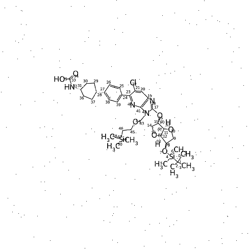 CC(C)(C)[Si](C)(C)O[C@@H]1CO[C@H]2[C@@H]1OC[C@H]2Oc1nc2cc(Cl)c(-c3ccc([C@H]4CC[C@@H](NC(=O)O)CC4)cc3)nc2n1COCC[Si](C)(C)C